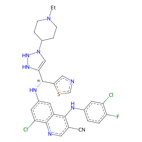 CCN1CCC(N2C=C([C@@H](Nc3cc(Cl)c4ncc(C#N)c(Nc5ccc(F)c(Cl)c5)c4c3)c3cncs3)NN2)CC1